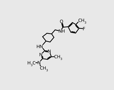 Cc1cc(N(C)C)nc(NC2CCC(CNC(=O)c3ccc(F)c(C)c3)CC2)n1